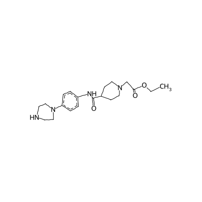 CCOC(=O)CN1CCC(C(=O)Nc2ccc(N3CCNCC3)cc2)CC1